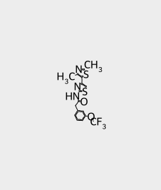 Cc1nc(C)c(-c2csc(NC(=O)Cc3cccc(OC(F)(F)F)c3)n2)s1